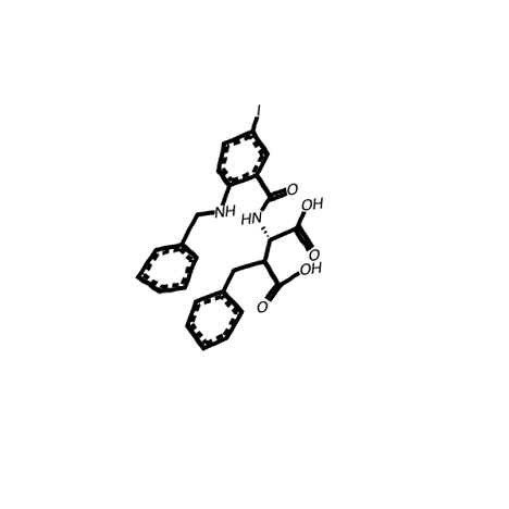 O=C(N[C@H](C(=O)O)C(Cc1ccccc1)C(=O)O)c1cc(I)ccc1NCc1ccccc1